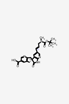 CN(C/C=C/c1cnc2c(c1)[C@@]1(Cc3cc(C(=O)O)cnc3C1)C(=O)N2)C(=O)OC(C)(C)C